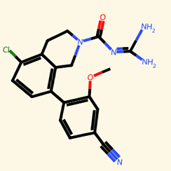 COc1cc(C#N)ccc1-c1ccc(Cl)c2c1CN(C(=O)N=C(N)N)CC2